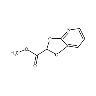 COC(=O)C1Oc2cccnc2O1